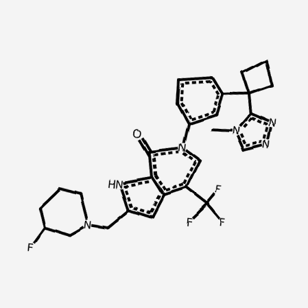 Cn1cnnc1C1(c2cccc(-n3cc(C(F)(F)F)c4cc(CN5CCCC(F)C5)[nH]c4c3=O)c2)CCC1